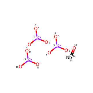 [O-][I+2]([O-])[O-].[O-][I+2]([O-])[O-].[O-][I+2]([O-])[O-].[O]=[Nb+3]